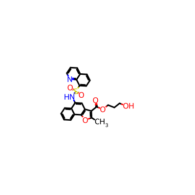 Cc1oc2c(cc(NS(=O)(=O)c3cccc4cccnc34)c3ccccc32)c1C(=O)OCCCO